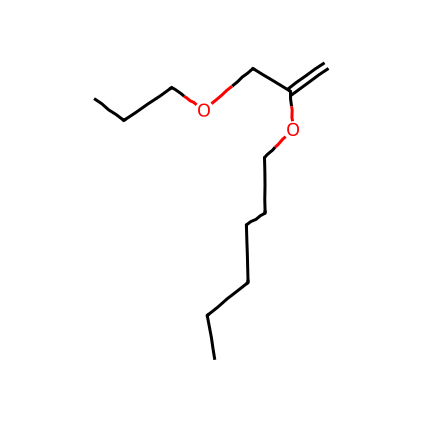 C=C(COCCC)OCCCCCC